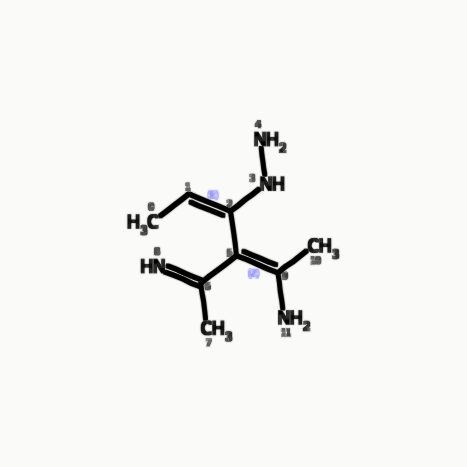 C/C=C(NN)\C(C(C)=N)=C(/C)N